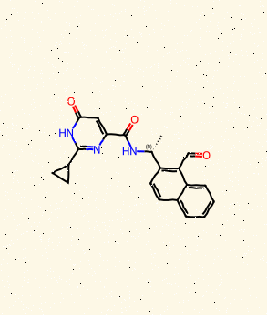 C[C@@H](NC(=O)c1cc(=O)[nH]c(C2CC2)n1)c1ccc2ccccc2c1C=O